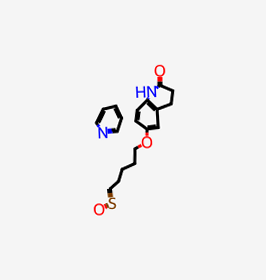 O=S=CCCCCOc1ccc2c(c1)CCC(=O)N2.c1ccncc1